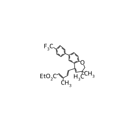 CCOC(=O)C=C(C)C=CC1=CC(C)(C)COc2ccc(-c3ccc(C(F)(F)F)cc3)cc21